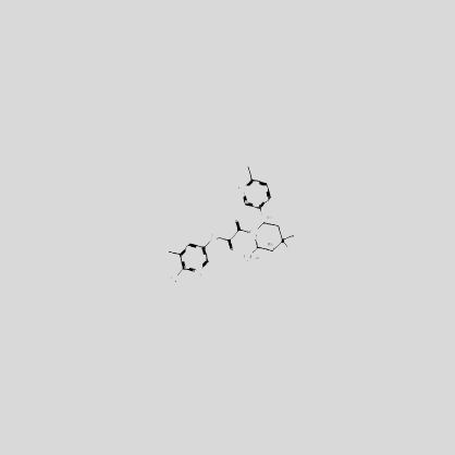 CCc1cc(NC(=O)C(=O)N2C(OC)[C@@H](C)C(F)(F)C[C@@H]2c2ccc(C)nc2)cnc1N